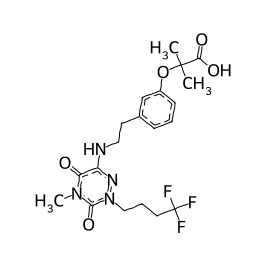 Cn1c(=O)c(NCCc2cccc(OC(C)(C)C(=O)O)c2)nn(CCCC(F)(F)F)c1=O